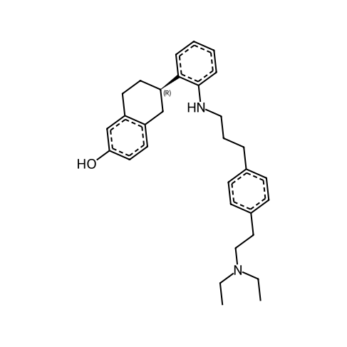 CCN(CC)CCc1ccc(CCCNc2ccccc2[C@@H]2CCc3cc(O)ccc3C2)cc1